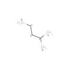 BCCC(B)B